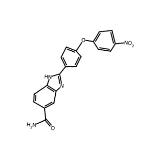 NC(=O)c1ccc2[nH]c(-c3ccc(Oc4ccc([N+](=O)[O-])cc4)cc3)nc2c1